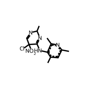 Cc1cc(C)c(NC2=NC(C)N=CC2(Cl)[N+](=O)[O-])c(C)n1